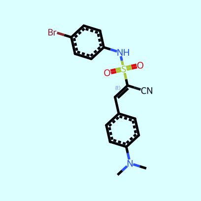 CN(C)c1ccc(/C=C(\C#N)S(=O)(=O)Nc2ccc(Br)cc2)cc1